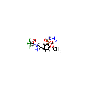 COc1ccc(CCNC(=O)C(F)(F)F)cc1S(N)(=O)=O